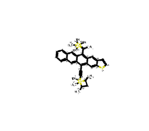 CC(c1c2cc3ccccc3cc2c(C#C[SH]2(C)(C(C)C)C(C)CC2C)c2cc3sccc3cc12)=S(C)(C(C)C)(C(C)C)C(C)C